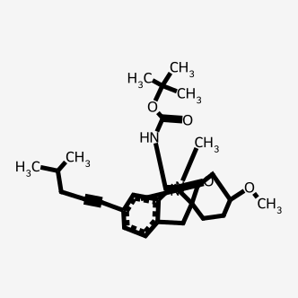 COC1CCC2(CC1)Cc1ccc(C#CCC(C)C)cc1C21N=C(NC(=O)OC(C)(C)C)N(C)C1=O